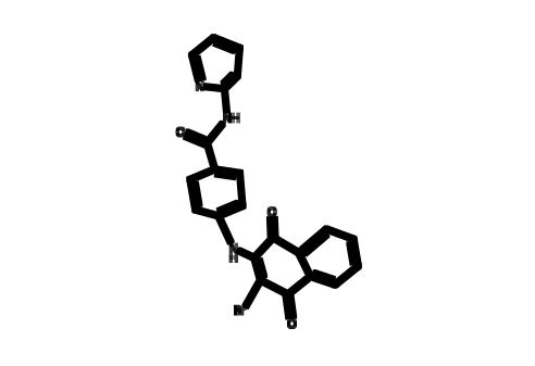 O=C(Nc1ccccn1)c1ccc(NC2=C(Br)C(=O)c3ccccc3C2=O)cc1